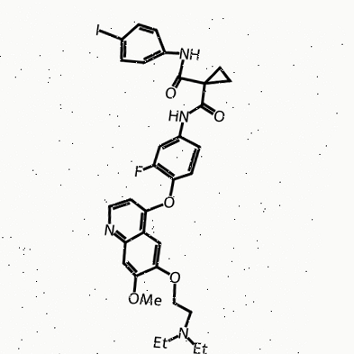 CCN(CC)CCOc1cc2c(Oc3ccc(NC(=O)C4(C(=O)Nc5ccc(I)cc5)CC4)cc3F)ccnc2cc1OC